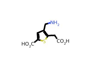 NCc1cc(C(=O)O)sc1CC(=O)O